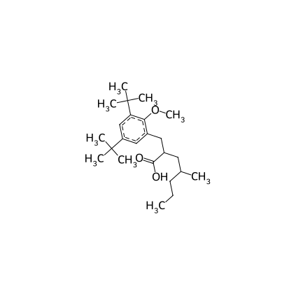 CCCC(C)CC(Cc1cc(C(C)(C)C)cc(C(C)(C)C)c1OC)C(=O)O